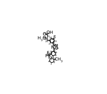 CC1CCCCN1C1CC=C(c2nc(-c3cc(F)cc(CN(C)CC(=O)O)c3)no2)C=C1C(F)(F)F